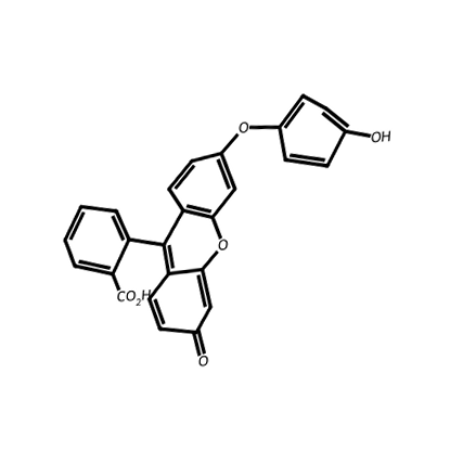 O=C(O)c1ccccc1-c1c2ccc(=O)cc-2oc2cc(Oc3ccc(O)cc3)ccc12